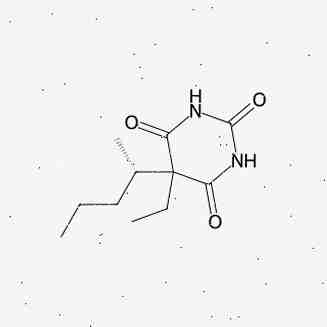 CCC[C@H](C)C1(CC)C(=O)NC(=O)NC1=O